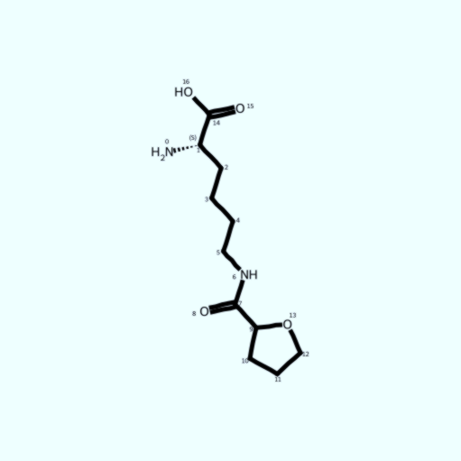 N[C@@H](CCCCNC(=O)C1CCCO1)C(=O)O